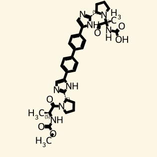 COC(=O)N[C@@H](C)C(=O)N1CCC[C@H]1c1ncc(-c2ccc(-c3ccc(-c4cnc([C@@H]5CCCN5[C@@](C)(C=O)NC(=O)O)[nH]4)cc3)cc2)[nH]1